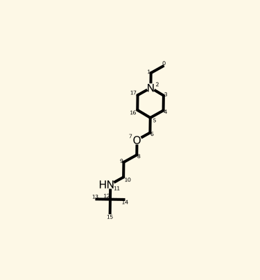 CCN1CCC(COCCCNC(C)(C)C)CC1